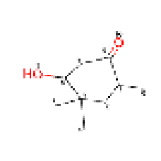 CC1CC(C)(C)C(O)CC1=O